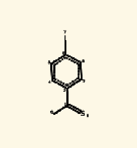 CC(=S)c1ccc(I)cc1